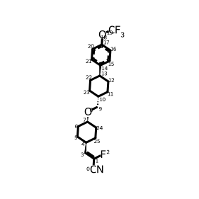 N#C/C(F)=C/[C@H]1CC[C@H](OC[C@H]2CC[C@H](c3ccc(OC(F)(F)F)cc3)CC2)CC1